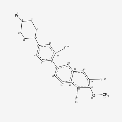 CCC1CCC(c2ccc(-c3ccc4c(F)c(OC(F)(F)F)c(F)cc4c3)c(F)c2)CC1